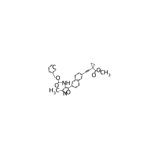 COC(=O)C1(C#Cc2ccc3cc(-c4onc(C)c4NC(=O)OCc4ccccc4)ccc3c2)CC1